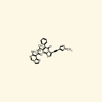 CC(NC(=O)c1c(N)ncn2ccnc12)c1nc2scc(C#Cc3cnn(C)c3)n2c(=O)c1-c1ccccc1